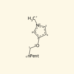 CCCCCCOc1ccn(C)c1